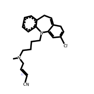 CN(C/C=C/C#N)CCCCN1C2=CC(Cl)=CCC2=CCc2ccccc21